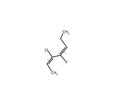 C/C=C(Cl)\C(F)=C/CC